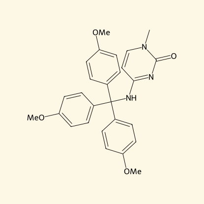 COc1ccc(C(Nc2ccn(C)c(=O)n2)(c2ccc(OC)cc2)c2ccc(OC)cc2)cc1